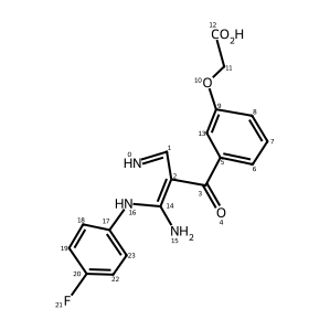 N=C/C(C(=O)c1cccc(OCC(=O)O)c1)=C(/N)Nc1ccc(F)cc1